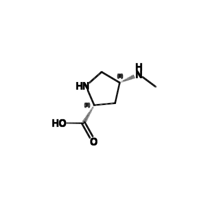 CN[C@H]1CN[C@@H](C(=O)O)C1